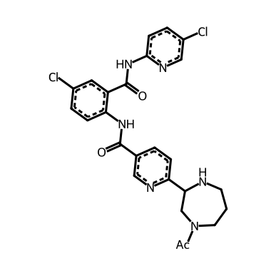 CC(=O)N1CCCNC(c2ccc(C(=O)Nc3ccc(Cl)cc3C(=O)Nc3ccc(Cl)cn3)cn2)C1